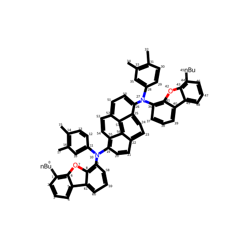 CCCCc1cccc2c1oc1c(N(c3ccc(C)c(C)c3)c3ccc4ccc5c(N(c6ccc(C)c(C)c6)c6cccc7c6oc6c(CCCC)cccc67)ccc6ccc3c4c65)cccc12